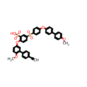 C#Cc1ccc(-c2cc(Oc3ccc(S(=O)(=O)c4ccc(Oc5ccc(-c6ccc(OC)cc6)cc5)cc4)cc3S(=O)(=O)O)ccc2OC)cc1